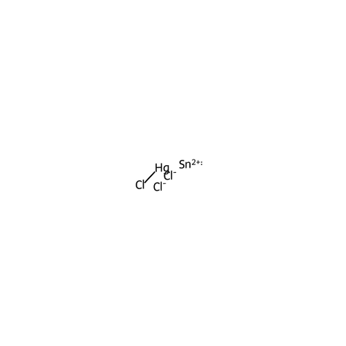 [Cl-].[Cl-].[Cl][Hg].[Sn+2]